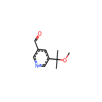 COC(C)(C)c1cncc(C=O)c1